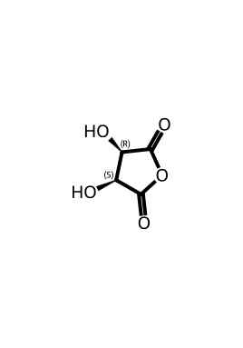 O=C1OC(=O)[C@H](O)[C@@H]1O